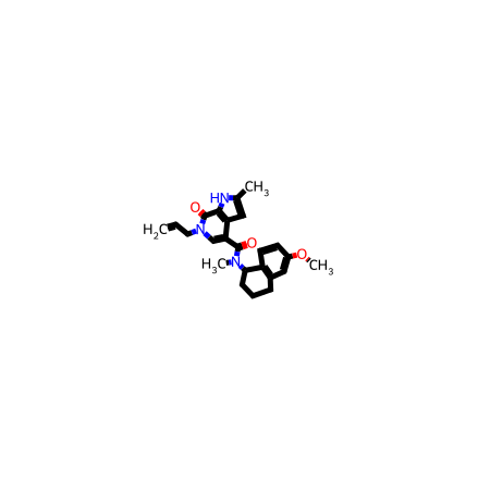 C=CCn1cc(C(=O)N(C)C2CCCc3cc(OC)ccc32)c2cc(C)[nH]c2c1=O